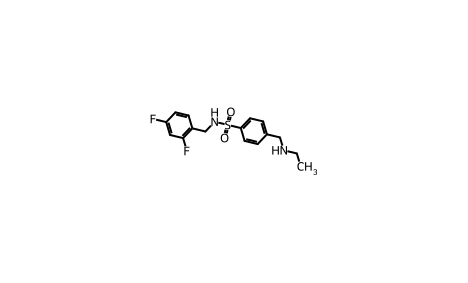 CCNCc1ccc(S(=O)(=O)NCc2ccc(F)cc2F)cc1